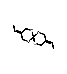 CC=C1COC2(OC1)OCC(=CC)CO2